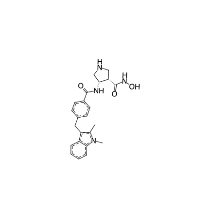 Cc1c(Cc2ccc(C(=O)N[C@@H]3CNC[C@@H]3C(=O)NO)cc2)c2ccccc2n1C